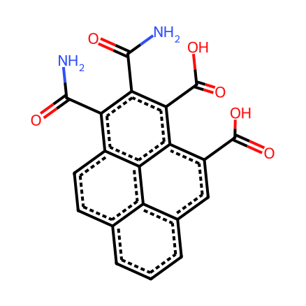 NC(=O)c1c(C(N)=O)c2ccc3cccc4cc(C(=O)O)c(c1C(=O)O)c2c34